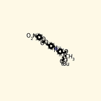 CN(CC(=O)OC(C)(C)C)C(=O)c1ccc(/N=N/c2ccc(COC(=O)Oc3ccc([N+](=O)[O-])cc3)cc2)cc1